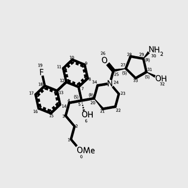 COCCCC[C@@](O)(c1ccccc1-c1ccccc1F)[C@@H]1CCCN(C(=O)[C@H]2C[C@@H](N)[C@@H](O)C2)C1